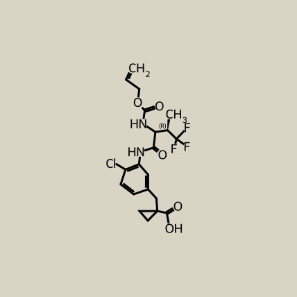 C=CCOC(=O)NC(C(=O)Nc1cc(CC2(C(=O)O)CC2)ccc1Cl)[C@@H](C)C(F)(F)F